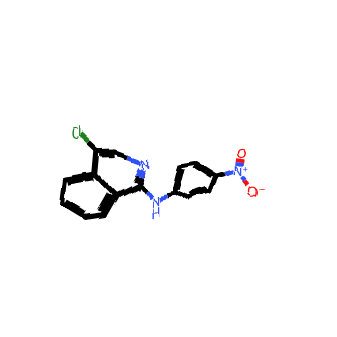 O=[N+]([O-])c1ccc(Nc2ncc(Cl)c3ccccc23)cc1